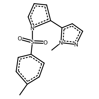 Cc1ccc(S(=O)(=O)n2cccc2-c2ccnn2C)cc1